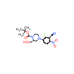 CC(C)(C)OC(=O)N1CCN(c2ccc([N+](=O)[O-])c(C#N)c2F)C[C@H]1CO